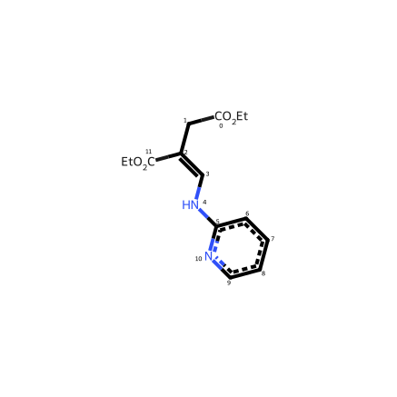 CCOC(=O)C/C(=C/Nc1ccccn1)C(=O)OCC